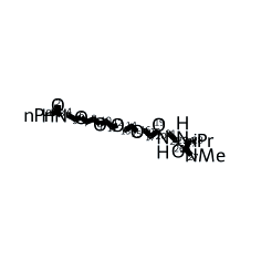 CCCC(=O)NCCOCCOCCOCCOCCC(=O)NCCN[C@H](C(=O)NC)C(C)C